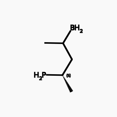 BC(C)C[C@H](C)P